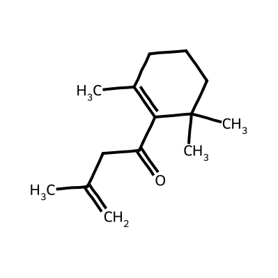 C=C(C)CC(=O)C1=C(C)CCCC1(C)C